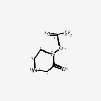 O=C1CNCCN1OC(=O)C(F)(F)F